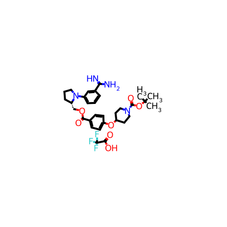 CC(C)(C)OC(=O)N1CCC(Oc2ccc(C(=O)OC[C@@H]3CCCN3c3cccc(C(=N)N)c3)cc2)CC1.O=C(O)C(F)(F)F